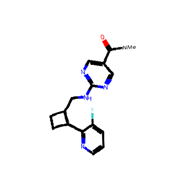 CNC(=O)c1cnc(NCC2CCC2c2ncccc2F)nc1